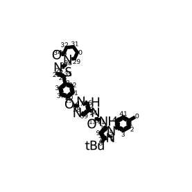 Cc1ccc(-n2nc(C(C)(C)C)cc2NC(=O)Nc2cnc(Oc3ccc(-c4cnc(N5CCCCC5=O)s4)cc3)nc2)cc1